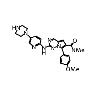 CNC(=O)c1cc2cnc(Nc3ccc(N4CCNCC4)cn3)nn2c1-c1ccc(OC)cc1